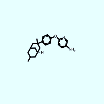 CC1CC2C[C@H](C1)CC(C)(c1ccc(Oc3ccc(N)cn3)cc1)C2